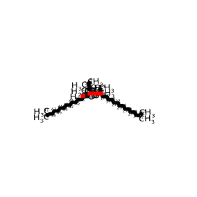 C=C(C)C(=O)[O][Ti](=[O])([O]C(=O)C(=C)C)([C](=O)CCCCCCCCCCCCCCC(C)C)([C](=O)CCCCCCCCCCCCCCC(C)C)[CH](C)C